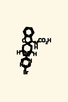 O=C(O)N[C@@H]1c2ccccc2O[C@]12C[C@H]1CC[C@@H](C2)N1c1cnc(Br)cn1